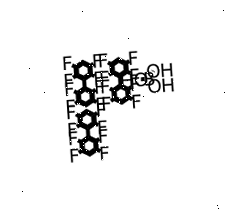 Fc1cc(F)c(F)c(-c2c(F)c(F)cc(F)c2F)c1F.Fc1cc(F)c(F)c(-c2c(F)c(F)cc(F)c2F)c1F.Fc1cc(F)c(F)c(-c2c(F)c(F)cc(F)c2F)c1F.OB(O)O